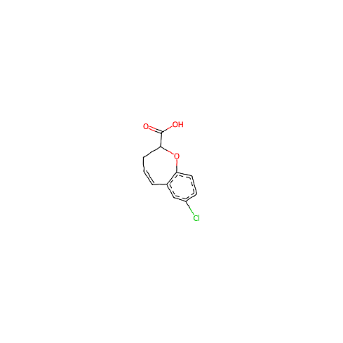 O=C(O)C1CC=Cc2cc(Cl)ccc2O1